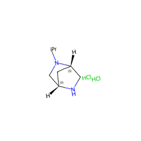 CC(C)N1C[C@@H]2C[C@H]1CN2.Cl.Cl